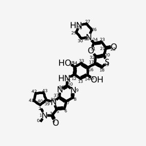 CN(C)C(=O)c1cc2cnc(Nc3cc(O)c(-c4csc5c(=O)cc(N6CCNCC6)oc45)cc3O)nc2n1C1CCCC1